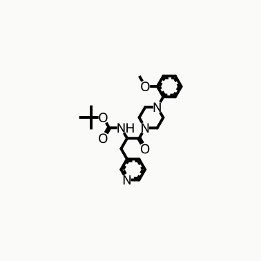 COc1ccccc1N1CCN(C(=O)C(Cc2cccnc2)NC(=O)OC(C)(C)C)CC1